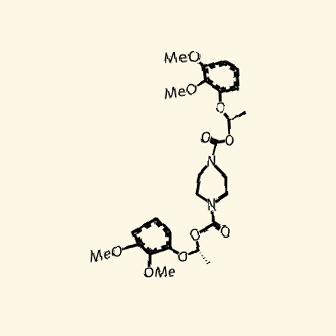 COc1cccc(O[C@@H](C)OC(=O)N2CCN(C(=O)O[C@H](C)Oc3cccc(OC)c3OC)CC2)c1OC